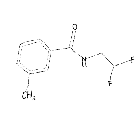 Cc1cccc(C(=O)NCC(F)F)c1